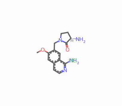 COc1cc2ccnc(N)c2cc1CN1CC[C@H](N)C1=O.Cl